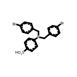 O=S(=O)(O)c1ccc(N(Cc2ccc(Br)cc2)Cc2ccc(Br)cc2)cc1